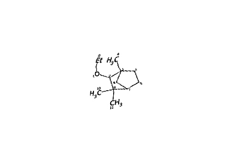 CCOC1C2(C)CCC(C2)C1(C)C